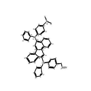 CNCc1ccc(N(c2ccccc2)c2cc3c4ccccc4c(N(c4ccccc4)c4ccc(N(C)C)cc4)cc3c3ccccc23)cc1